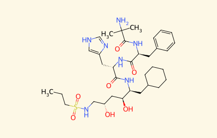 CCCS(=O)(=O)NC[C@@H](O)C[C@H](O)[C@H](CC1CCCCC1)NC(=O)[C@H](Cc1c[nH]cn1)NC(=O)[C@H](Cc1ccccc1)NC(=O)C(C)(C)N